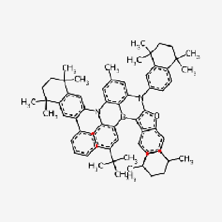 Cc1cc2c3c(c1)N(c1ccc4c(c1)C(C)(C)CCC4(C)C)c1oc4cc5c(cc4c1B3c1cc(C(C)(C)C)ccc1N2c1cc2c(cc1-c1ccccc1)C(C)(C)CCC2(C)C)C1(C)CCC5(C)CC1